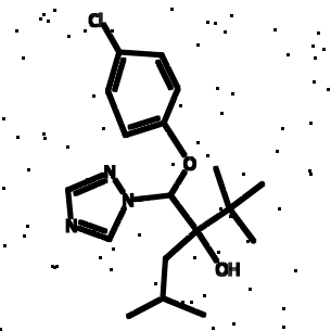 CC(C)CC(O)(C(Oc1ccc(Cl)cc1)n1cncn1)C(C)(C)C